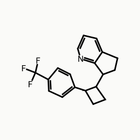 FC(F)(F)c1ccc([C]2CCC2C2CCc3cccnc32)cc1